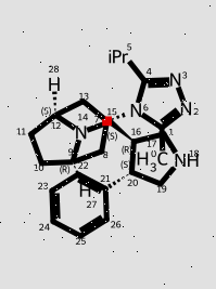 Cc1nnc(C(C)C)n1[C@@H]1C[C@H]2CC[C@@H](C1)N2C[C@H]1CNC[C@@H]1c1ccccc1